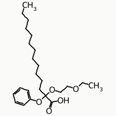 CCCCCCCCCCCCC(OCCOCC)(Oc1ccccc1)C(=O)O